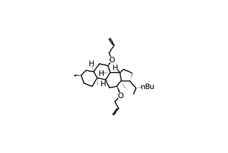 C=CCO[C@H]1C[C@H]2[C@@H]([C@H](OCC=C)C[C@@H]3C[C@H](C)CC[C@@]32C)[C@@H]2CC[C@H]([C@@H](C)CCCC)[C@@]12C